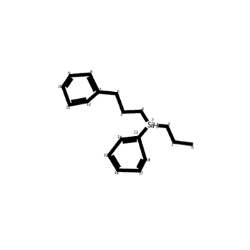 CCC[SiH](CCCc1ccccc1)c1ccccc1